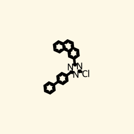 Clc1nc(-c2ccc(-c3ccccc3)cc2)nc(-c2ccc3ccc4ccccc4c3c2)n1